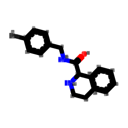 CCc1ccc(CNC(=O)C2NCCc3ccccc32)cc1